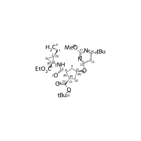 C=C[C@@H]1C[C@]1(NC(=O)[C@@H]1C[C@@H](Oc2cc(C(C)(C)C)nc(OC)n2)C[C@H]1C(=O)OC(C)(C)C)C(=O)OCC